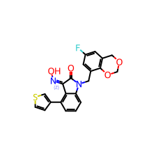 O=C1/C(=N\O)c2c(-c3ccsc3)cccc2N1Cc1cc(F)cc2c1OCOC2